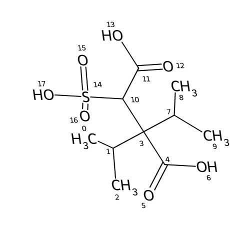 CC(C)C(C(=O)O)(C(C)C)C(C(=O)O)S(=O)(=O)O